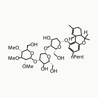 CCCCCc1cc(O[C@H]2C[C@@H](O)[C@H](O[C@H]3C[C@@H](O[C@@H]4O[C@H](CO)[C@@H](OC)[C@H](OC)[C@H]4OC)[C@H](O)[C@@H](CO)O3)[C@@H](CO)O2)c2c(c1)OC(C)(C)[C@@H]1CCC(C)=C[C@@H]21